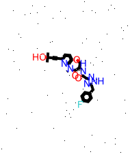 CN1C(=O)[C@@H](NC(=O)c2n[nH]c(Cc3ccc(F)cc3)n2)COc2ccc(C#CC(C)(C)O)nc21